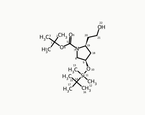 CC(C)(C)OC(=O)N1C[C@H](O[Si](C)(C)C(C)(C)C)C[C@@H]1CCO